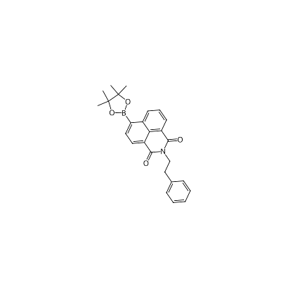 CC1(C)OB(c2ccc3c4c(cccc24)C(=O)N(CCc2ccccc2)C3=O)OC1(C)C